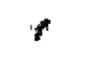 CC1(C)c2ccc(-c3cccc4c3sc3ccc5c6ccccc6sc5c34)cc2-c2ccc(-c3c4ccccc4c(-c4cccc5ccccc45)c4ccccc34)cc21